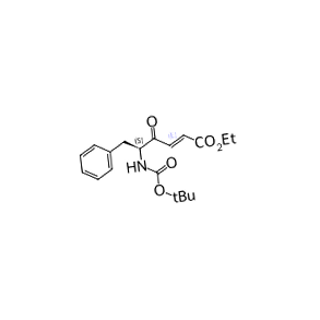 CCOC(=O)/C=C/C(=O)[C@H](Cc1ccccc1)NC(=O)OC(C)(C)C